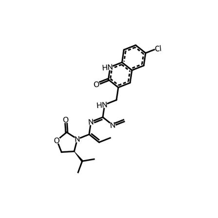 C=N/C(=N\C(=C/C)N1C(=O)OC[C@@H]1C(C)C)NCc1cc2cc(Cl)ccc2[nH]c1=O